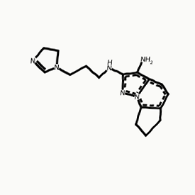 Nc1c(NCCCN2C=NCC2)nn2c3c(ccc12)CCC3